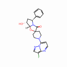 O=C1N2[C@H](OC13CCN(c1ccnc4c(F)cnn14)CC3)[C@H](O)C[C@H]2c1ccccc1